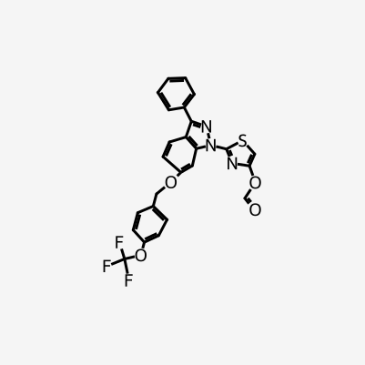 O=COc1csc(-n2nc(-c3ccccc3)c3ccc(OCc4ccc(OC(F)(F)F)cc4)cc32)n1